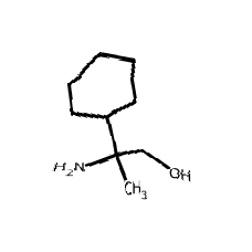 CC(N)(CO)C1CCCCC1